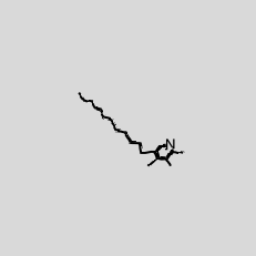 CCCCCCCCCCCCc1cnc(C)c(C)c1C